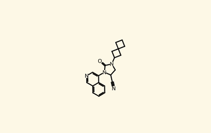 N#CC1CN(C2CC3(CCC3)C2)C(=O)N1c1cncc2ccccc12